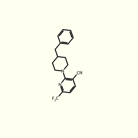 N#Cc1ccc(C(F)(F)F)nc1N1CCC(Cc2ccccc2)CC1